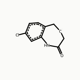 O=C1CCCc2ccc(Cl)cc2N1